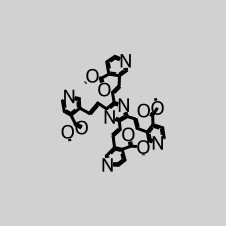 COC(=O)c1ccncc1C=Cc1nc(C=Cc2cnccc2C(=O)OC)c(C=Cc2cnccc2C(=O)OC)nc1C=Cc1cnccc1C(=O)OC